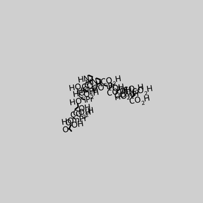 CC(=O)C(=O)O.CC(C)C(O)C(=O)O.CC(C)C(O)C(=O)O.CC(C)C(O)C(=O)O.CC(O)CC(=O)O.CC(O)CC(=O)O.CC(O)CC(=O)O.CCCC(O)C(=O)O.CCCC(O)C(=O)O.O=C(O)C1CCCN1.O=C(O)C1CCCN1.O=C(O)CCC(=O)O